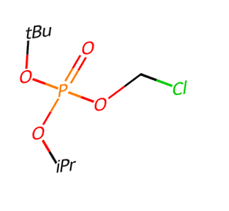 CC(C)OP(=O)(OCCl)OC(C)(C)C